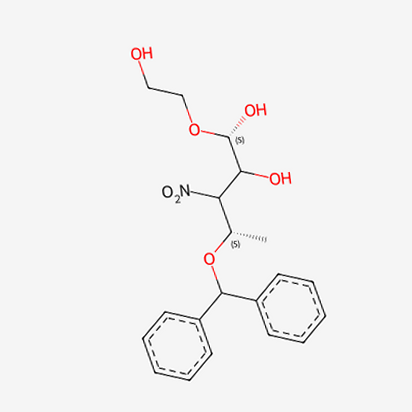 C[C@H](OC(c1ccccc1)c1ccccc1)C(C(O)[C@@H](O)OCCO)[N+](=O)[O-]